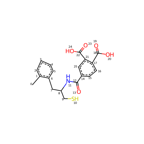 Cc1ccccc1CC(CS)NC(=O)c1ccc(C(=O)O)c(C(=O)O)c1